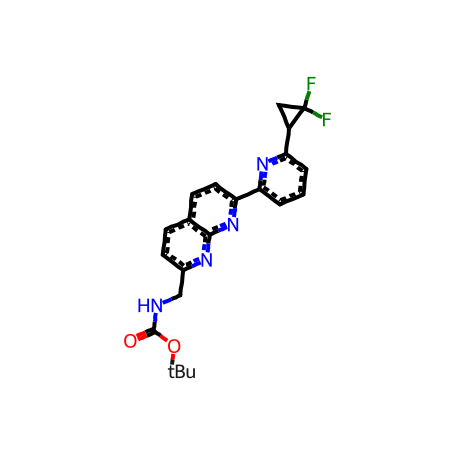 CC(C)(C)OC(=O)NCc1ccc2ccc(-c3cccc(C4CC4(F)F)n3)nc2n1